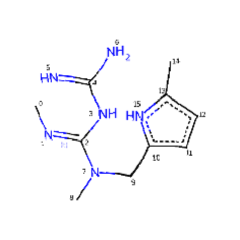 C/N=C(\NC(=N)N)N(C)Cc1ccc(C)[nH]1